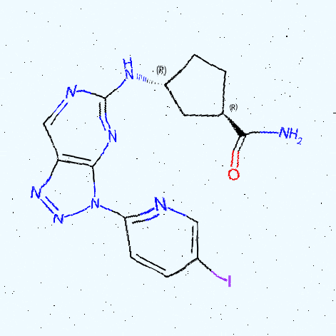 NC(=O)[C@@H]1CC[C@@H](Nc2ncc3nnn(-c4ccc(I)cn4)c3n2)C1